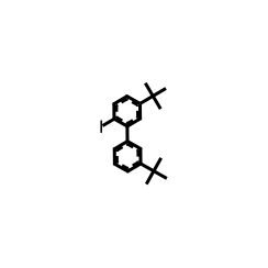 CC(C)(C)c1cccc(-c2cc(C(C)(C)C)ccc2I)c1